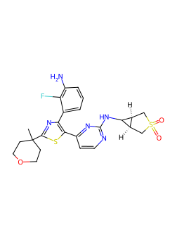 CC1(c2nc(-c3cccc(N)c3F)c(-c3ccnc(NC4[C@H]5CS(=O)(=O)C[C@@H]45)n3)s2)CCOCC1